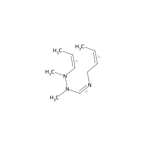 C/C=C\C/N=C\N(C)N(C)/C=C\C